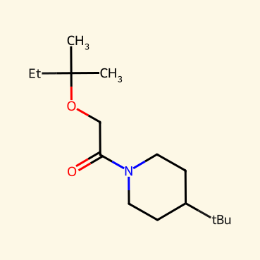 CCC(C)(C)OCC(=O)N1CCC(C(C)(C)C)CC1